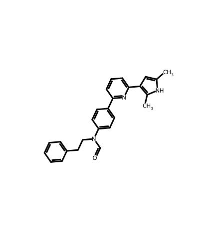 Cc1cc(-c2cccc(-c3ccc(N(C=O)CCc4ccccc4)cc3)n2)c(C)[nH]1